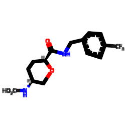 O=C(O)N[C@@H]1CC[C@@H](C(=O)NCc2ccc(C(F)(F)F)cc2)OC1